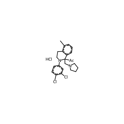 CC(=O)C1(CN2CCCC2)c2cccc(C)c2CCN1c1ccc(Cl)c(Cl)c1.Cl